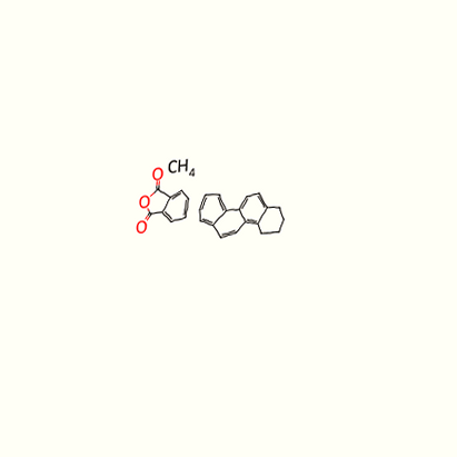 C.O=C1OC(=O)c2ccccc21.c1ccc2c(c1)ccc1c3c(ccc12)CCCC3